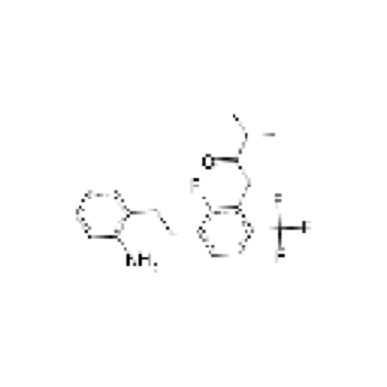 CC(C)C(=O)Cc1c(C(F)(F)F)ccc(CCc2ccccc2N)c1F